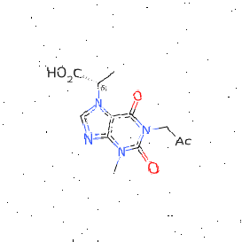 CC(=O)Cn1c(=O)c2c(ncn2[C@@H](C)C(=O)O)n(C)c1=O